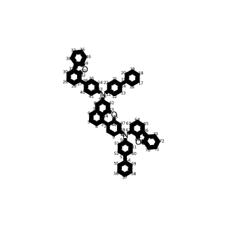 C1=CC2c3cccc4cc(N(c5ccc(-c6ccccc6)cc5)c5ccc(-c6cccc7c6oc6ccccc67)cc5)cc(c34)OC2C=C1N(c1ccc(-c2ccccc2)cc1)c1cccc2c1oc1ccccc12